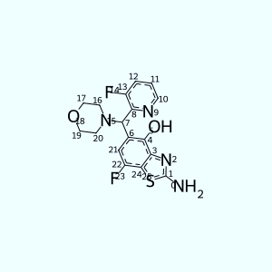 Nc1nc2c(O)c(C(c3ncccc3F)N3CCOCC3)cc(F)c2s1